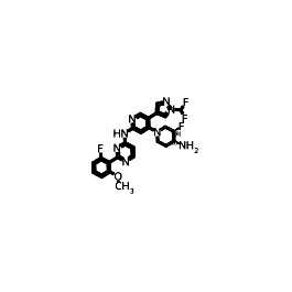 COc1cccc(F)c1-c1nccc(Nc2cc(N3CC[C@H](N)[C@H](F)C3)c(-c3cnn(C(F)F)c3)cn2)n1